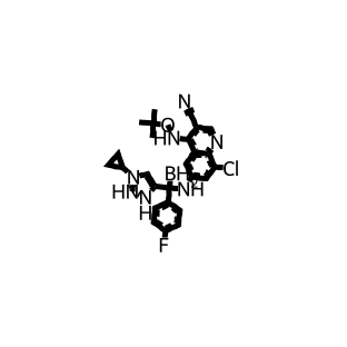 BC(Nc1cc(Cl)c2ncc(C#N)c(NOC(C)(C)C)c2c1)(C1=CN(C2CC2)NN1)c1ccc(F)cc1